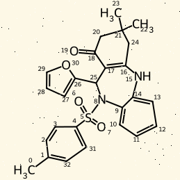 Cc1ccc(S(=O)(=O)N2c3ccccc3NC3=C(C(=O)CC(C)(C)C3)C2c2ccco2)cc1